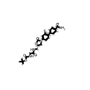 CC(C)(C)OC(=O)NCC(=O)NC[C@H]1CN(c2ccc(-c3ccc(C(N)=O)cc3)c(F)c2)C(=O)O1